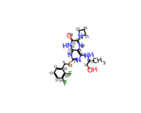 C[C@H](CO)Nc1nc(SCc2cccc(F)c2F)nc2[nH]c(=O)c(N3CCC3)nc12